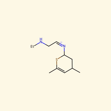 CCNC/C=N\C1CC(C)C=C(C)S1